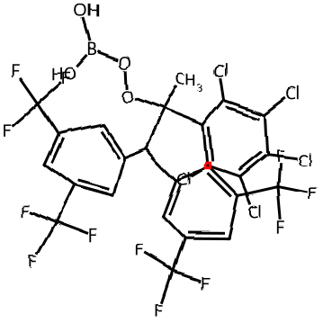 CC(OOB(O)O)(c1c(Cl)c(Cl)c(Cl)c(Cl)c1Cl)C(c1cc(C(F)(F)F)cc(C(F)(F)F)c1)c1cc(C(F)(F)F)cc(C(F)(F)F)c1